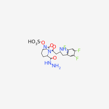 NNC(=O)C1CCC2C[N+]1(C(=O)C[C@H](N)Cc1cc(F)c(F)cc1F)C(=O)N2OS(=O)(=O)O